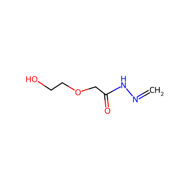 C=NNC(=O)COCCO